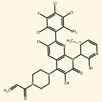 C=CC(=O)N1CCN(c2c(C#N)c(=O)n(C3C(C(C)C)=NC=C[C@H]3C)c3nc(-c4c(N)c(Cl)c(Cl)c(F)c4Cl)c(Cl)cc23)CC1